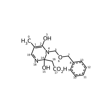 CC1=C(O)N(COCc2ccccc2)C(O)(CC(=O)O)N=C1